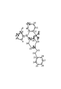 Cn1nccc1C(c1cnccc1C(F)(F)F)N1CCN(CCc2ccccc2)CC1